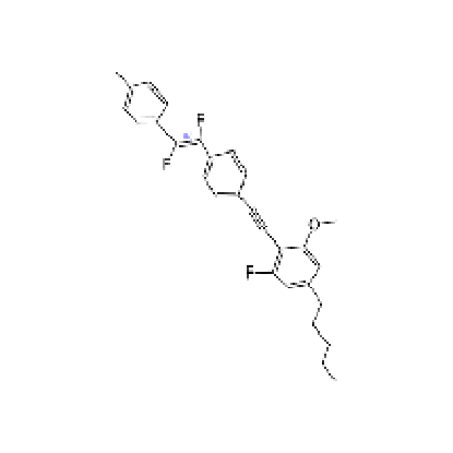 CCCCCc1cc(F)c(C#Cc2ccc(/C(F)=C(\F)c3ccc(C)cc3)cc2)c(OC)c1